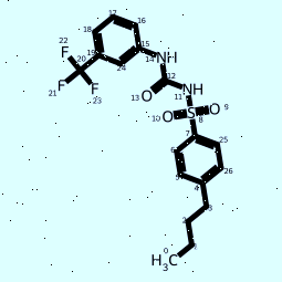 CCCCc1ccc(S(=O)(=O)NC(=O)Nc2cccc(C(F)(F)F)c2)cc1